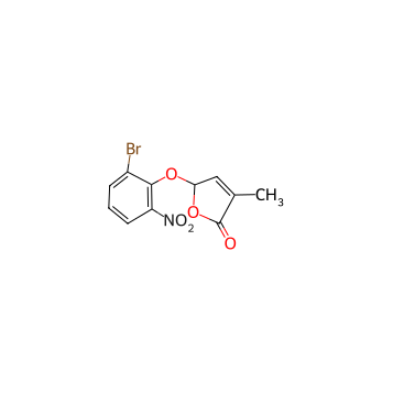 CC1=CC(Oc2c(Br)cccc2[N+](=O)[O-])OC1=O